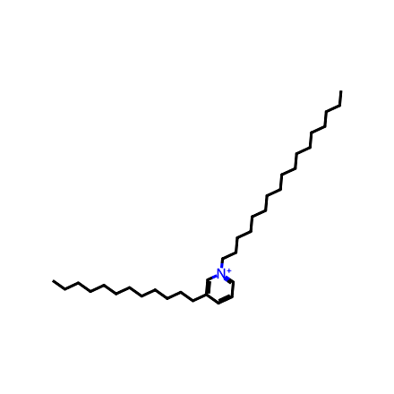 CCCCCCCCCCCCCCCCC[n+]1cccc(CCCCCCCCCCCC)c1